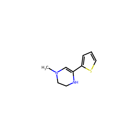 CN1C=C(c2cccs2)NCC1